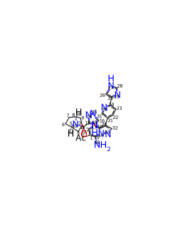 CC(=O)c1c([C@@H]2C[C@H]3CC[C@@H](C2)N3C(=O)c2nnc[nH]2)nc2c(-c3ccc(-c4c[nH]cn4)nc3)cnn2c1N